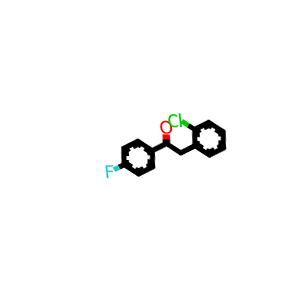 O=C(Cc1ccccc1Cl)c1ccc(F)cc1